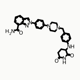 NC(=O)c1cccc2cn(-c3ccc(N4CCN(Cc5ccc(NC6CCC(=O)NC6=O)cc5)CC4)cc3)nc12